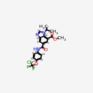 COC(=O)c1cc(C(=O)Nc2ccc(OC(F)(F)Cl)cc2)cc2ncn(C(C)C)c12